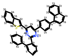 c1ccc(-c2ccccc2-c2nc(-c3ccc(-c4cccc5ccccc45)cc3)cc(-c3cc4ccccc4s3)n2)cc1